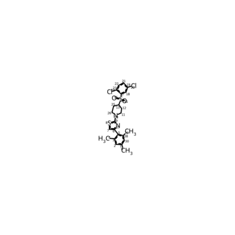 Cc1cc(C)c(-c2csc(N3CCC(S(=O)(=O)c4cc(Cl)ccc4Cl)CC3)n2)c(C)c1